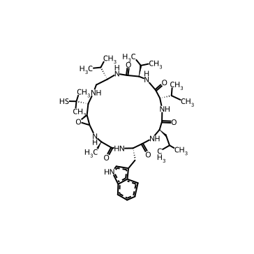 CC(C)C[C@H]1NC(=O)[C@H](Cc2c[nH]c3ccccc23)NC(=O)[C@@H](C)NC2OC2[C@H](C(C)(C)S)NC[C@H](C(C)C)NC(=O)[C@@H](C(C)C)NC(=O)[C@H](C(C)C)NC1=O